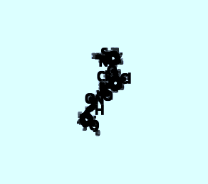 COc1cccc(C=CC(=O)NCC(=O)N(C)c2ccc(Cl)c(COc3cccc4sc(C)nc34)c2Cl)c1